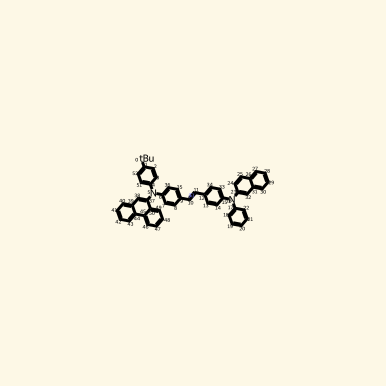 CC(C)(C)c1ccc(N(c2ccc(/C=C/c3ccc(N(c4ccccc4)c4ccc5ccccc5c4)cc3)cc2)c2cc3ccccc3c3ccccc23)cc1